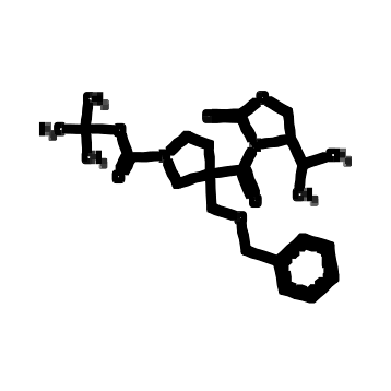 CC(C)C1COC(=O)N1C(=O)C1(COCc2ccccc2)CCN(C(=O)OC(C)(C)C)C1